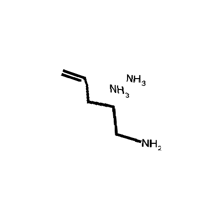 C=CCCCN.N.N